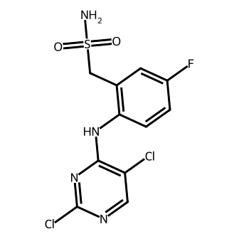 NS(=O)(=O)Cc1cc(F)ccc1Nc1nc(Cl)ncc1Cl